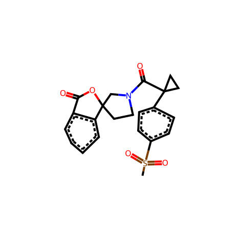 CS(=O)(=O)c1ccc(C2(C(=O)N3CCC4(C3)OC(=O)c3ccccc34)CC2)cc1